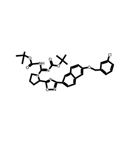 CC(C)(C)OC(=O)N=C(NC(=O)OC(C)(C)C)N1CCCC1c1nc(-c2ccc3cc(OCc4cccc(Cl)c4)ccc3c2)no1